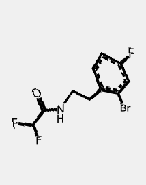 O=C(NCCc1ccc(F)cc1Br)C(F)F